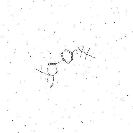 C=CC(OC(=O)c1ccc(O[Si](C)(C)C(C)(C)C)cc1)[Si](C)(C)C(C)(C)C